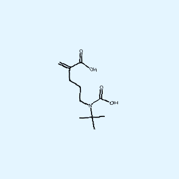 C=C(CCCN(C(=O)O)C(C)(C)C)C(=O)O